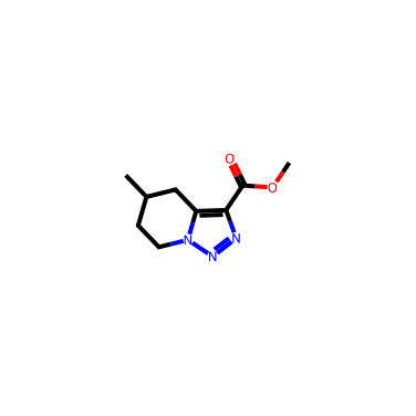 COC(=O)c1nnn2c1CC(C)CC2